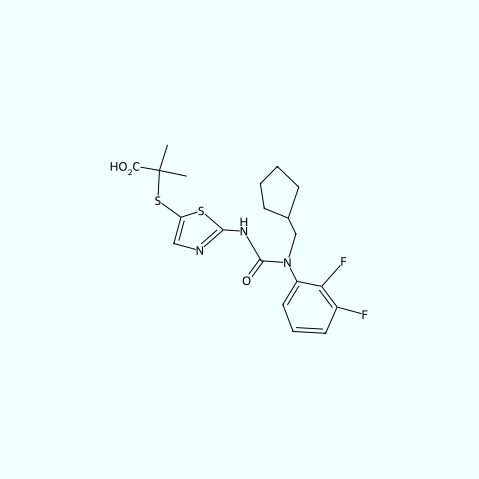 CC(C)(Sc1cnc(NC(=O)N(CC2CCCC2)c2cccc(F)c2F)s1)C(=O)O